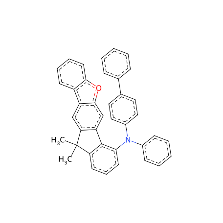 CC1(C)c2cc3c(cc2-c2c(N(c4ccccc4)c4ccc(-c5ccccc5)cc4)cccc21)oc1ccccc13